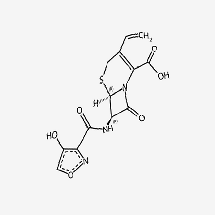 C=CC1=C(C(=O)O)N2C(=O)[C@@H](NC(=O)c3nocc3O)[C@H]2SC1